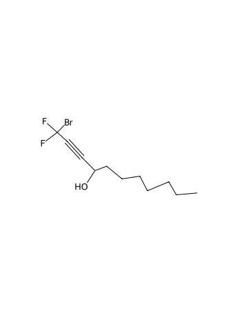 CCCCCCCC(O)C#CC(F)(F)Br